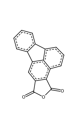 O=C1OC(=O)c2c1cc1c3c(cccc23)-c2ccccc2-1